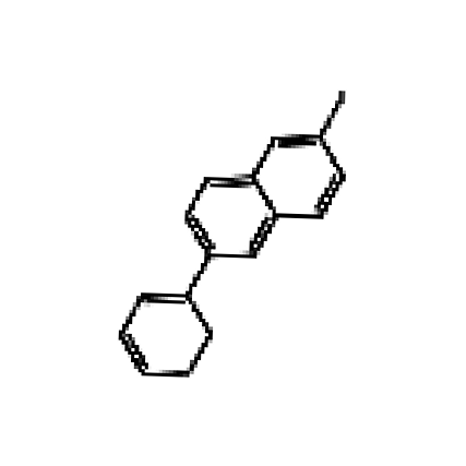 Ic1ccc2cc(C3=CC=CCC3)ccc2c1